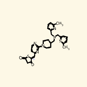 Cc1cccc(CN(Cc2cccc(C)n2)CC2CCN(c3nccc(/C=C4\SC(=O)CC4=O)n3)CC2)n1